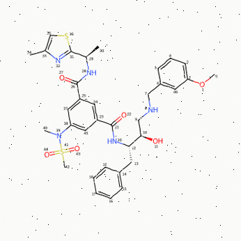 COc1cccc(CNC[C@@H](O)[C@H](Cc2ccccc2)NC(=O)c2cc(C(=O)N[C@H](C)c3nc(C)cs3)cc(N(C)S(C)(=O)=O)c2)c1